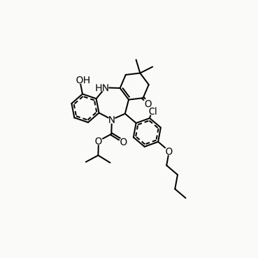 CCCCOc1ccc(C2C3=C(CC(C)(C)CC3=O)Nc3c(O)cccc3N2C(=O)OC(C)C)c(Cl)c1